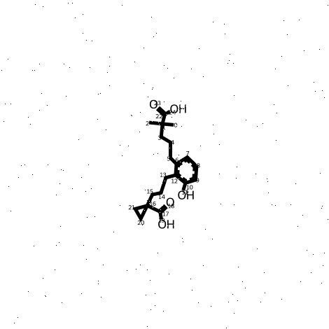 CC(C)(CCCc1cccc(O)c1CCCC1(C(=O)O)CC1)C(=O)O